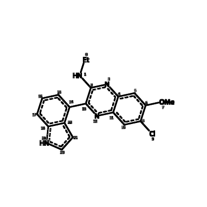 CCNc1nc2cc(OC)c(Cl)cc2nc1-c1cccc2[nH]ccc12